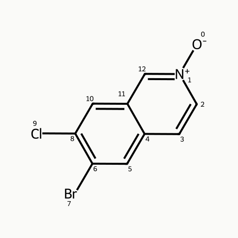 [O-][n+]1ccc2cc(Br)c(Cl)cc2c1